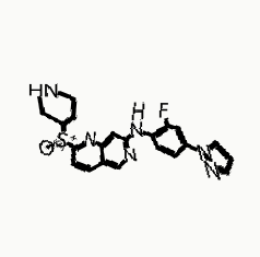 [O-][S@+](c1ccc2cnc(Nc3ccc(-n4cccn4)cc3F)cc2n1)C1CCNCC1